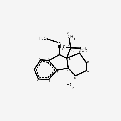 CNC1c2ccccc2C2CCCCC21C(C)(C)C.Cl